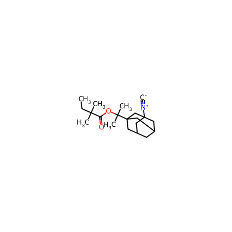 [C-]#[N+]C12CC3CC(C1)CC(C(C)(C)OC(=O)C(C)(C)CC)(C3)C2